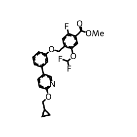 COC(=O)c1cc(OC(F)F)c(COc2cccc(-c3ccc(OCC4CC4)nc3)c2)cc1F